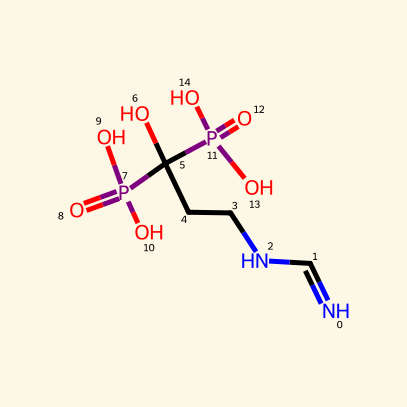 N=CNCCC(O)(P(=O)(O)O)P(=O)(O)O